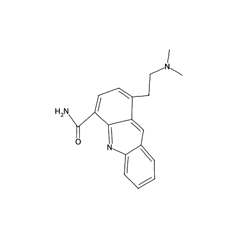 CN(C)CCc1ccc(C(N)=O)c2nc3ccccc3cc12